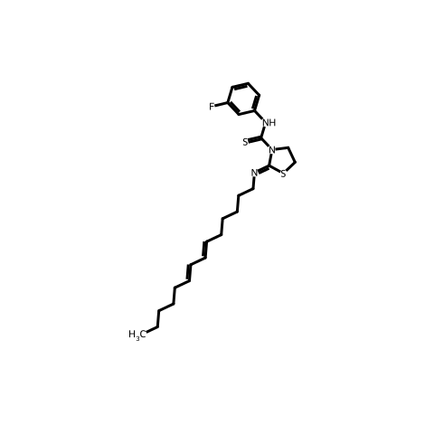 CCCCCC=CC=CCCCCCN=C1SCCN1C(=S)Nc1cccc(F)c1